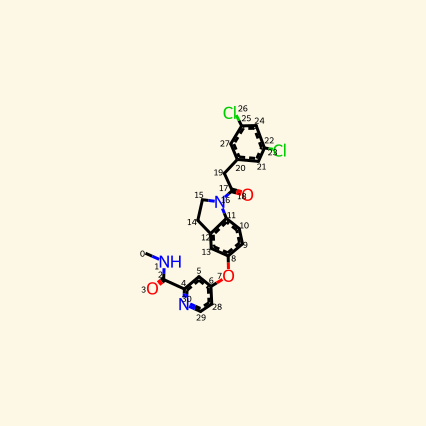 CNC(=O)c1cc(Oc2ccc3c(c2)CCN3C(=O)Cc2cc(Cl)cc(Cl)c2)ccn1